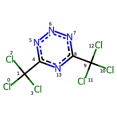 ClC(Cl)(Cl)c1nnnc(C(Cl)(Cl)Cl)n1